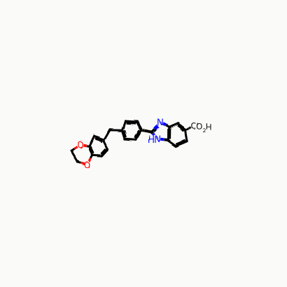 O=C(O)c1ccc2[nH]c(-c3ccc(Cc4ccc5c(c4)OCCO5)cc3)nc2c1